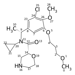 COCCCOc1cc([C@@H](C)N(C(=O)[C@H]2CNCCO2)C2CC2)cc(Cl)c1OC